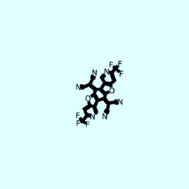 N#CC(C#N)=c1c2oc3cc(C(F)(F)F)ncc3c2c(=C(C#N)C#N)c2oc3cc(C(F)(F)F)ncc3c12